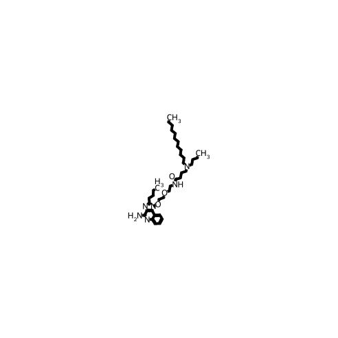 CCCCCCCCCCCCN(CCCC)CCCC(=O)NCCOCCOn1c(CCCC)nc2c(N)nc3ccccc3c21